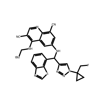 CC(C)(C)CNc1c(C#N)cnc2c(C#N)cc(NC(c3cn(C4(CF)CC4)nn3)c3cccc4ncsc34)cc12